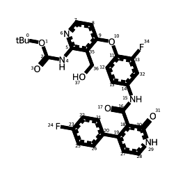 CC(C)(C)OC(=O)Nc1nccc(Oc2ccc(NC(=O)c3c(-c4ccc(F)cc4)cc[nH]c3=O)cc2F)c1CO